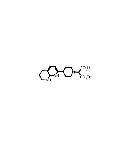 CCOC(=O)C(C(=O)O)N1CCC(C2=CC=C3CCCNC3N2)CC1